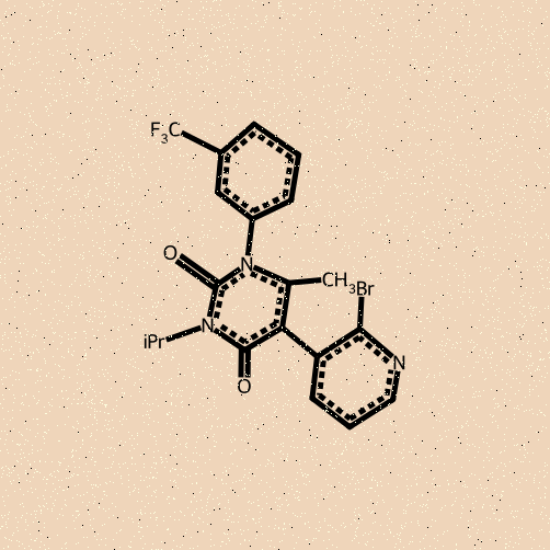 Cc1c(-c2cccnc2Br)c(=O)n(C(C)C)c(=O)n1-c1cccc(C(F)(F)F)c1